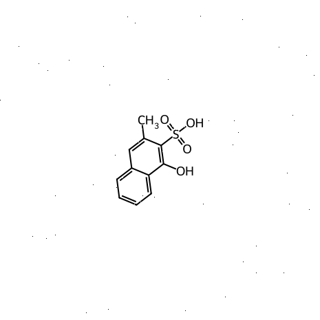 Cc1cc2ccccc2c(O)c1S(=O)(=O)O